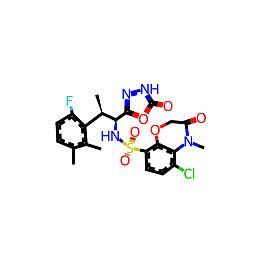 Cc1ccc(F)c([C@@H](C)[C@H](NS(=O)(=O)c2ccc(Cl)c3c2OCC(=O)N3C)c2n[nH]c(=O)o2)c1C